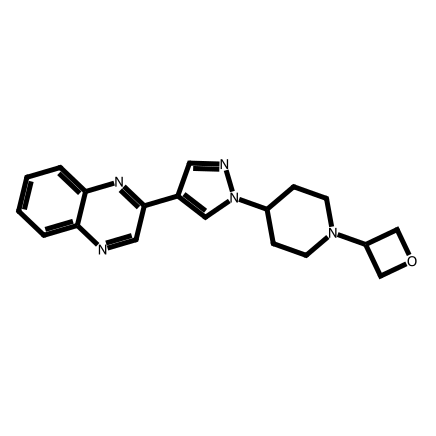 c1ccc2nc(-c3cnn(C4CCN(C5COC5)CC4)c3)cnc2c1